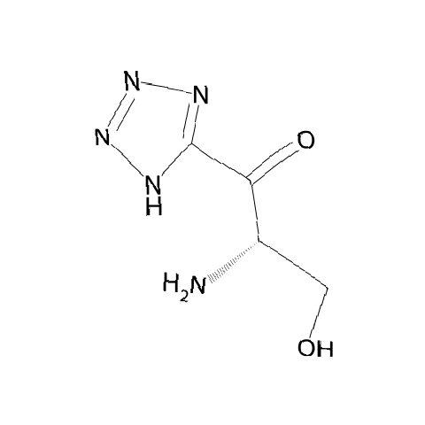 N[C@@H](CO)C(=O)c1nnn[nH]1